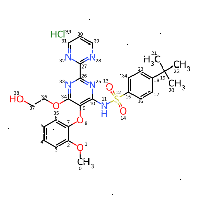 COc1ccccc1Oc1c(NS(=O)(=O)c2ccc(C(C)(C)C)cc2)nc(-c2ncccn2)nc1OCCO.Cl